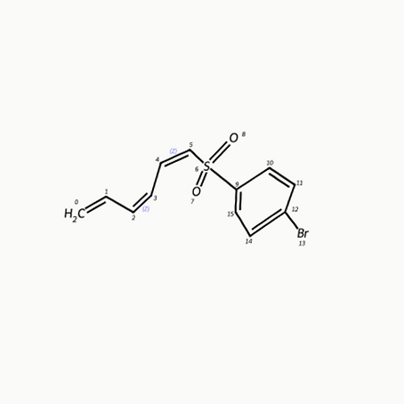 C=C/C=C\C=C/S(=O)(=O)c1ccc(Br)cc1